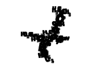 Cc1cc(C(=O)NC2CCC(N(C)C)CC2)ccc1-c1ccc(C[C@H](NC(=O)[C@H]2CC[C@H](CNC(=O)O)CC2)C(=O)Nc2ccc3[nH]c(C(F)(F)F)nc3c2)cc1.O=C(O)C(F)(F)F